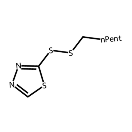 CCCCCCSSc1nncs1